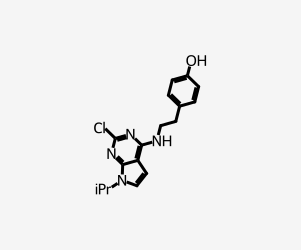 CC(C)n1ccc2c(NCCc3ccc(O)cc3)nc(Cl)nc21